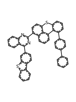 c1ccc(-c2ccc(-c3cccc4c3-c3cccc5c(-c6nc(-c7ccc8c(c7)sc7ccccc78)c7ccccc7n6)ccc(c35)S4)cc2)cc1